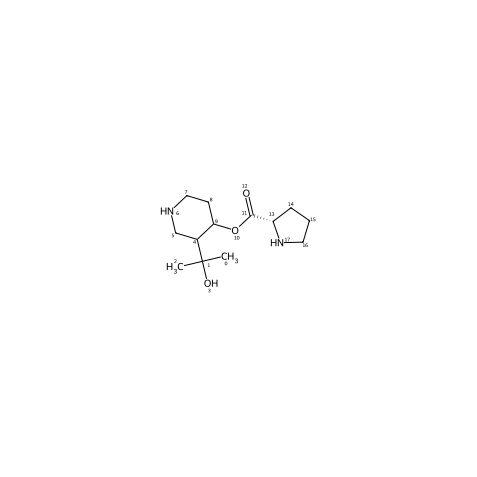 CC(C)(O)C1CNCCC1OC(=O)[C@@H]1CCCN1